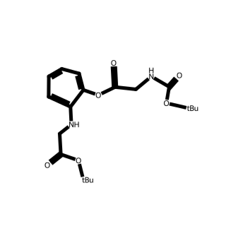 CC(C)(C)OC(=O)CNc1ccccc1OC(=O)CNC(=O)OC(C)(C)C